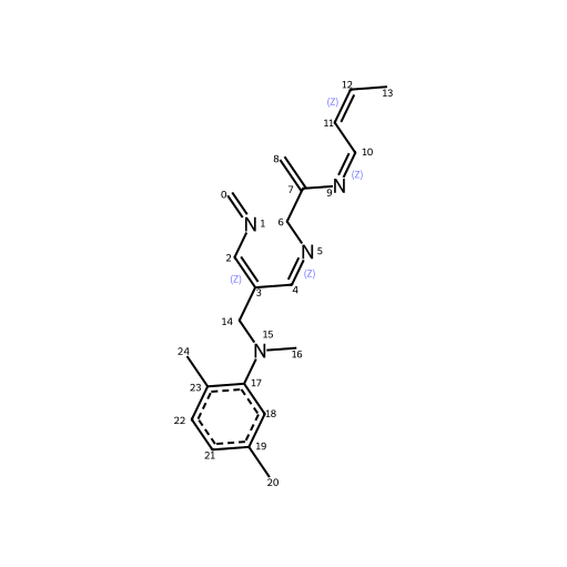 C=N/C=C(\C=N/CC(=C)/N=C\C=C/C)CN(C)c1cc(C)ccc1C